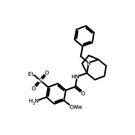 CCS(=O)(=O)c1cc(C(=O)NC23CCCC(CC2)N3Cc2ccccc2)c(OC)cc1N